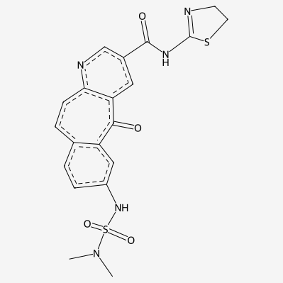 CN(C)S(=O)(=O)Nc1ccc2ccc3ncc(C(=O)NC4=NCCS4)cc3c(=O)c2c1